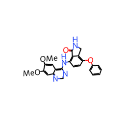 COc1cc2ncnc(Nc3ccc(Oc4ccccc4)c4c3C(=O)NC4)c2cc1OC